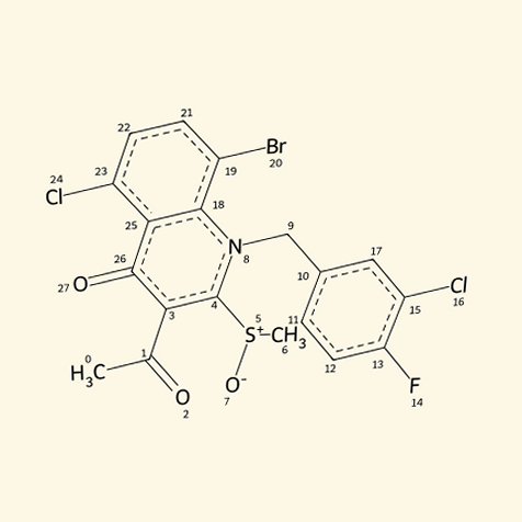 CC(=O)c1c([S+](C)[O-])n(Cc2ccc(F)c(Cl)c2)c2c(Br)ccc(Cl)c2c1=O